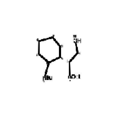 CCCCC1CCCCC1.CCCCCCCCCCO